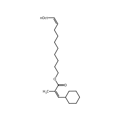 CCCCCCCC/C=C\CCCCCCCCOC(=O)C(C)=CC1CCCCC1